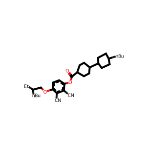 CCCCC1CCC(C2CCC(C(=O)Oc3ccc(OCC(CC)CCCC)c(C#N)c3C#N)CC2)CC1